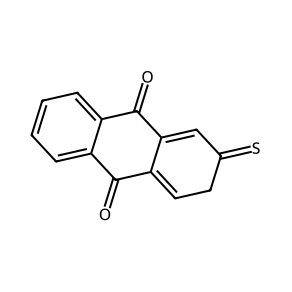 O=C1C2=CCC(=S)C=C2C(=O)c2ccccc21